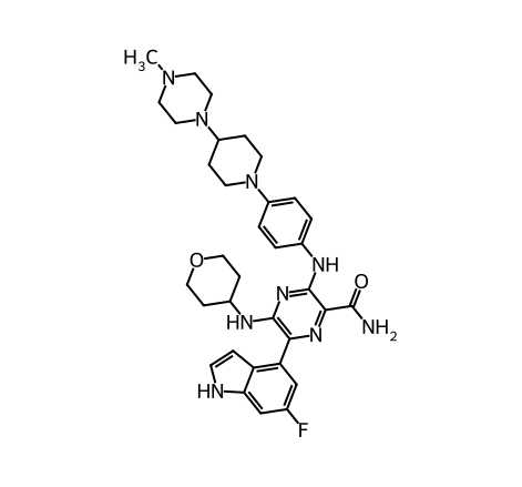 CN1CCN(C2CCN(c3ccc(Nc4nc(NC5CCOCC5)c(-c5cc(F)cc6[nH]ccc56)nc4C(N)=O)cc3)CC2)CC1